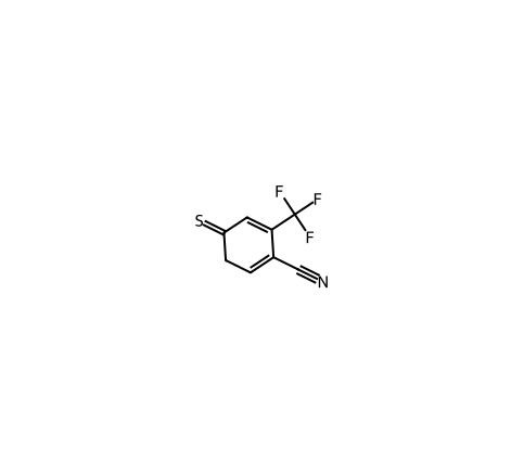 N#CC1=CCC(=S)C=C1C(F)(F)F